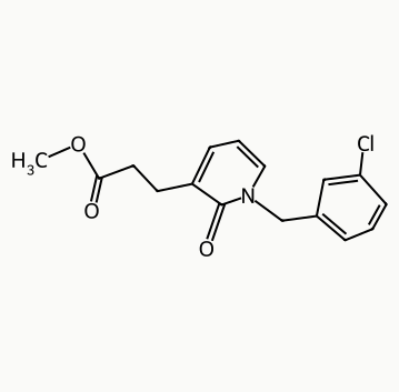 COC(=O)CCc1cccn(Cc2cccc(Cl)c2)c1=O